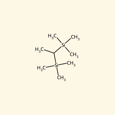 CC([Si](C)(C)C)[Si](C)(C)C